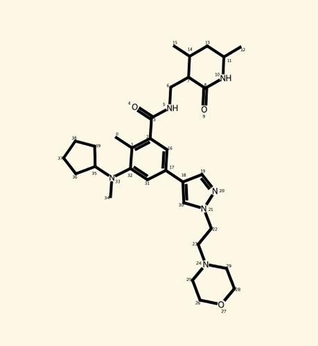 Cc1c(C(=O)NCC2C(=O)NC(C)CC2C)cc(-c2cnn(CCN3CCOCC3)c2)cc1N(C)C1CCCC1